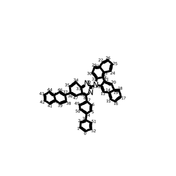 c1ccc(-c2ccc(-c3nc(-n4c5cc6ccccc6cc5c5c6ccccc6ccc54)nc4ccc(-c5ccc6ccccc6c5)cc34)cc2)cc1